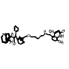 O=C(O[C@H]1CN2CCC1CC2)C(c1ccccc1)c1cccc(OCCCCCNC[C@H](O)c2ccc(O)c3[nH]c(=O)ccc23)c1